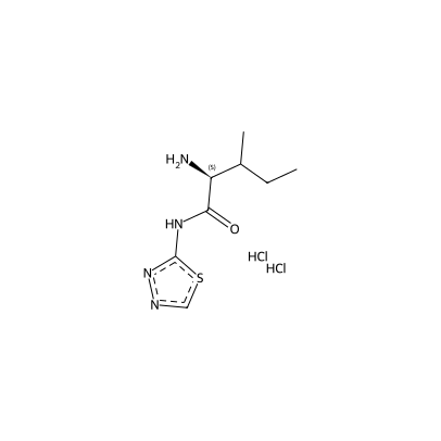 CCC(C)[C@H](N)C(=O)Nc1nncs1.Cl.Cl